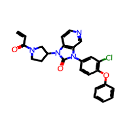 C=CC(=O)N1CCC(n2c(=O)n(-c3ccc(Oc4ccccc4)c(Cl)c3)c3cnccc32)C1